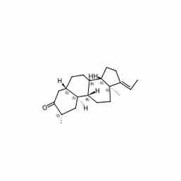 CC=C1CC[C@H]2[C@@H]3CC[C@H]4CC(=O)[C@@H](C)C[C@@H]4[C@H]3CC[C@]12C